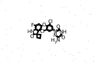 Nc1nn(-c2cc(Cl)c(Oc3cc(F)c4c(c3)C3(CCC3)C(=O)N4)c(Cl)c2)c(=O)[nH]c1=O